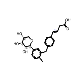 Cc1ccc([C@@H]2OC[C@@H](O)[C@H](O)[C@H]2O)cc1Cc1ccc(/C=C/CC(=O)O)cc1